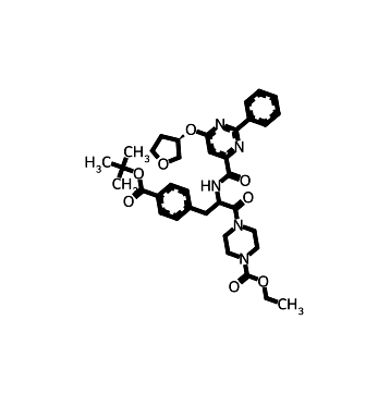 CCOC(=O)N1CCN(C(=O)C(Cc2ccc(C(=O)OC(C)(C)C)cc2)NC(=O)c2cc(O[C@H]3CCOC3)nc(-c3ccccc3)n2)CC1